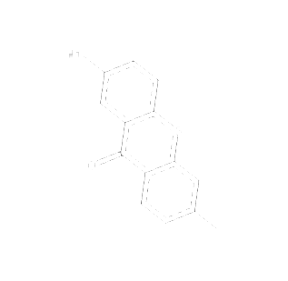 Cc1ccc2c(=O)c3cc(C(C)C)ccc3sc2c1